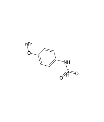 CCCOc1ccc(N[SH](=O)=O)cc1